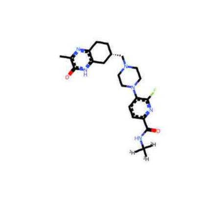 [2H]C([2H])([2H])NC(=O)c1ccc(N2CCN(C[C@H]3CCc4nc(C)c(=O)[nH]c4C3)CC2)c(F)n1